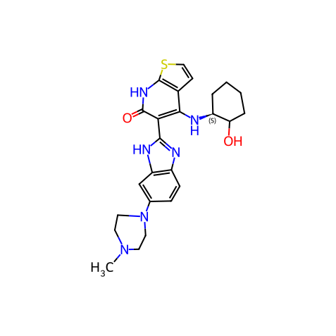 CN1CCN(c2ccc3nc(-c4c(N[C@H]5CCCCC5O)c5ccsc5[nH]c4=O)[nH]c3c2)CC1